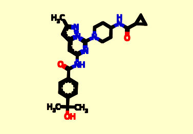 Cc1cc2cc(NC(=O)c3ccc(C(C)(C)O)cc3)nc(N3CCC(NC(=O)C4CC4)CC3)n2n1